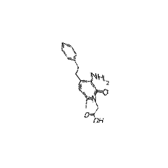 Cc1cc(CCc2ccccc2)c(N)c(=O)n1CC(=O)O